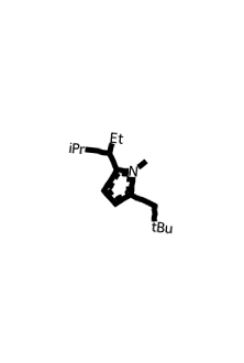 CCC(c1ccc(CC(C)(C)C)n1C)C(C)C